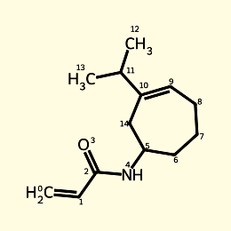 C=CC(=O)NC1CCCC=C(C(C)C)C1